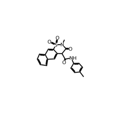 Cc1ccc(NC(=O)C2C(=O)N(C)S(=O)(=O)c3cc4ccccc4cc32)cc1